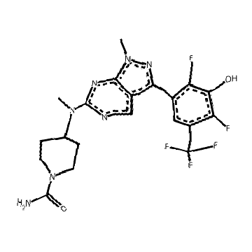 CN(c1ncc2c(-c3cc(C(F)(F)F)c(F)c(O)c3F)nn(C)c2n1)C1CCN(C(N)=O)CC1